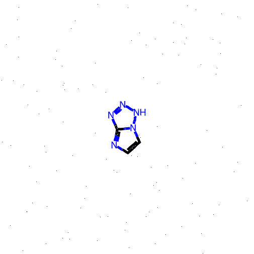 c1cn2[nH]nnc2n1